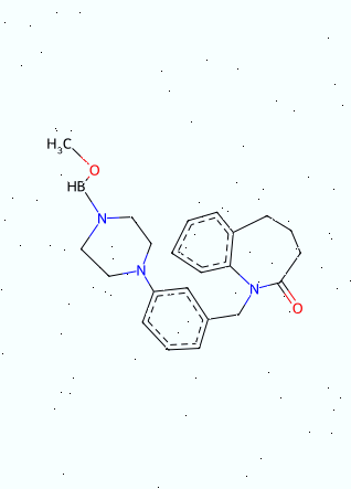 COBN1CCN(c2cccc(CN3C(=O)CCCc4ccccc43)c2)CC1